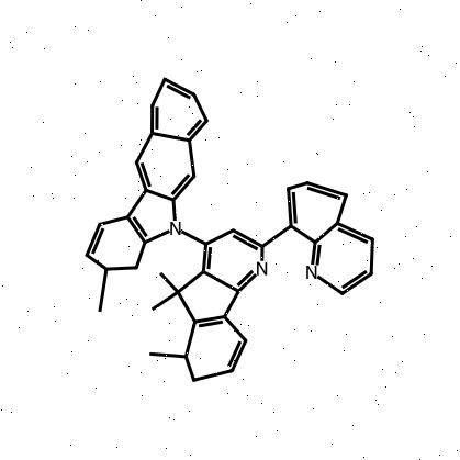 CC1C=Cc2c(n(-c3cc(-c4cccc5cccnc45)nc4c3C(C)(C)C3=C4C=CCC3C)c3cc4ccccc4cc23)C1